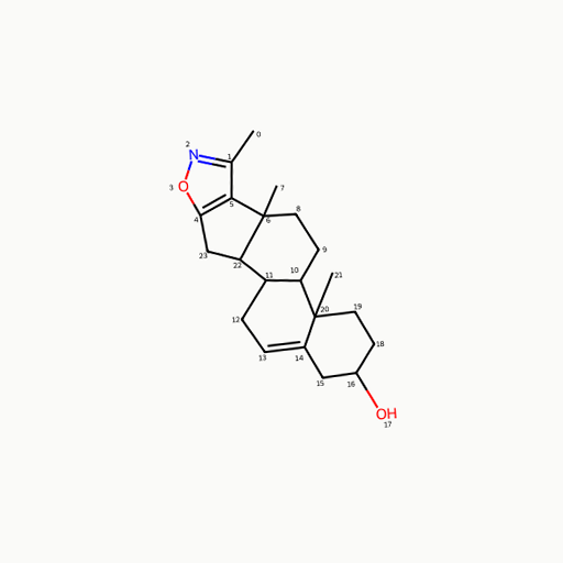 Cc1noc2c1C1(C)CCC3C(CC=C4CC(O)CCC43C)C1C2